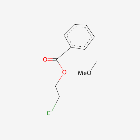 COC.O=C(OCCCl)c1ccccc1